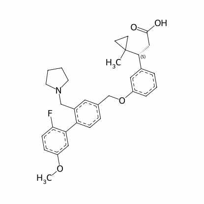 COc1ccc(F)c(-c2ccc(COc3cccc([C@@H](CC(=O)O)C4(C)CC4)c3)cc2CN2CCCC2)c1